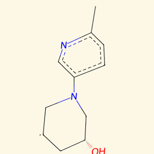 Cc1ccc(N2C[CH]C[C@@H](O)C2)cn1